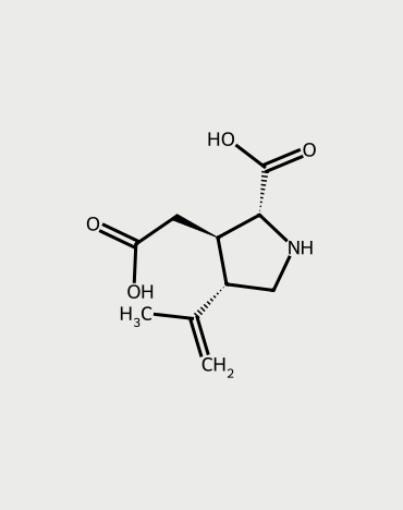 C=C(C)[C@H]1CN[C@@H](C(=O)O)[C@@H]1CC(=O)O